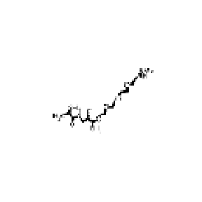 CSNCCOCCOCCOCCOC(C)C(F)CNC(=O)C(C)S